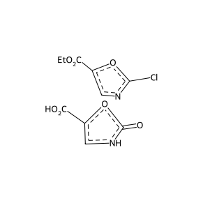 CCOC(=O)c1cnc(Cl)o1.O=C(O)c1c[nH]c(=O)o1